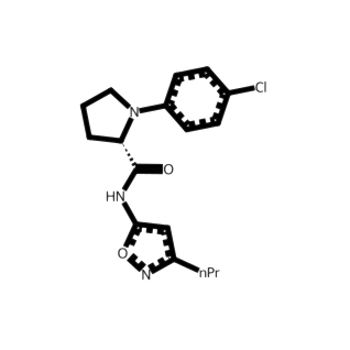 CCCc1cc(NC(=O)[C@@H]2CCCN2c2ccc(Cl)cc2)on1